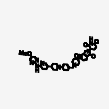 COc1cnc(Nc2ccc(C3CCN(c4ccc(CN5CCC(O)(c6ccc7c(c6)CN(C6CCC(=O)NC6=O)C7=O)CC5)cc4)CC3)cn2)nc1